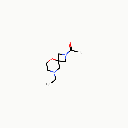 CCN1CCOC2(C1)CN(C(C)=O)C2